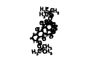 CC(C)(C)OOc1cccc2c(=O)c3c4c(=O)ooooooc(=O)c(c5c(=O)c6cccc(OOC(C)(C)C)c6c(=O)c45)c3c(=O)c12